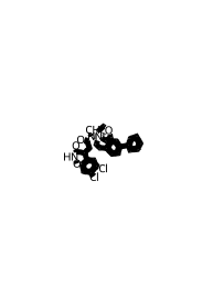 CN(C(=O)CC1C(=O)NOc2cc(Cl)c(Cl)cc21)[N+]1(CCc2ccc(-c3c[c]ccc3)cc2)CCOCC1